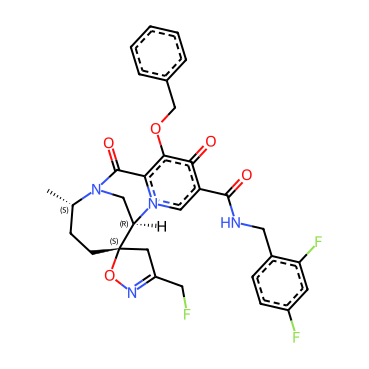 C[C@H]1CC[C@]2(CC(CF)=NO2)[C@H]2CN1C(=O)c1c(OCc3ccccc3)c(=O)c(C(=O)NCc3ccc(F)cc3F)cn12